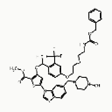 COC(=O)c1sc(-n2cnc3ccc(CN4CCN(C)CC4)cc32)cc1OC(C)c1ccc(OCCOCCNC(=O)OCc2ccccc2)cc1C(F)(F)F